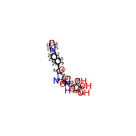 N#C/C(=C\c1ccc(-c2ccc3cc(N4CCOCC4)ccc3c2)o1)S(=O)(=O)NC[C@H]1OC[C@H](O)[C@@H](O)[C@@H]1O